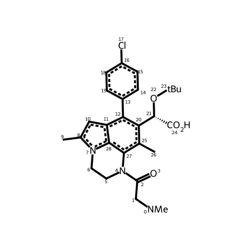 CNCC(=O)N1CCn2c(C)cc3c(-c4ccc(Cl)cc4)c([C@H](OC(C)(C)C)C(=O)O)c(C)c1c32